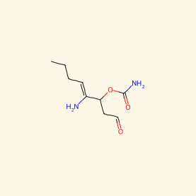 CCCC=C(N)C(CC=O)OC(N)=O